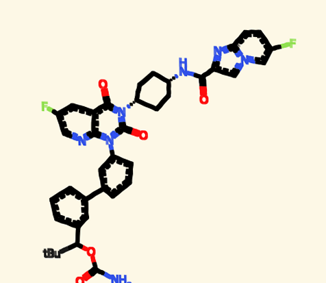 CC(C)(C)C(OC(N)=O)c1cccc(-c2cccc(-n3c(=O)n([C@H]4CC[C@@H](NC(=O)c5cn6cc(F)ccc6n5)CC4)c(=O)c4cc(F)cnc43)c2)c1